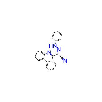 N#C/C(=N/Nc1ccccc1)c1nc2ccccc2c2ccccc12